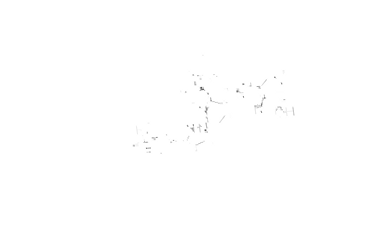 CN/C=C(/SNC(=O)c1ccc(-n2ccc(OCC(C)(C)C(F)(F)F)n2)nc1N1CC(C)CC1(C)C)C(=N)CO